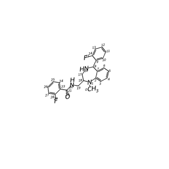 CN1c2ccccc2C(c2ccccc2F)NCC1CNC(=O)c1ccccc1F